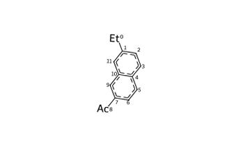 CCc1ccc2ccc(C(C)=O)cc2c1